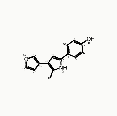 Cc1[nH]c(-c2ccc(O)cc2)cc1-c1ccoc1